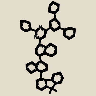 CC1(C)c2ccccc2-c2c(-c3ccc(-c4ccc(-c5cc(-c6cc(-c7ccccc7)cc(-c7ccccc7)c6)nc(-c6ccccc6)n5)c5ccccc45)c4ccccc34)cccc21